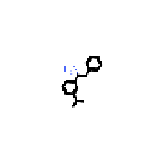 CC(C)c1cccc([C@@H](N)Cc2ccccc2)c1